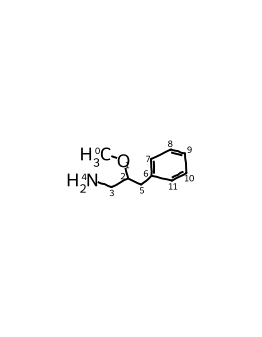 COC(CN)Cc1ccccc1